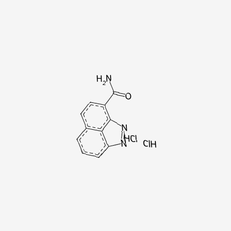 Cl.Cl.NC(=O)c1ccc2cccc3c2c1N=N3